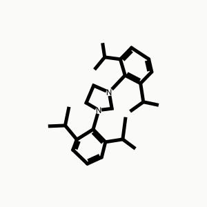 CC(C)c1cccc(C(C)C)c1N1CCN(c2c(C(C)C)cccc2C(C)C)C1